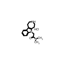 CN(C)C(=O)Cn1c2c(c3ccccc31)CCNCC2.Cl